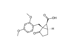 COc1ccc(C[C@]23C(=O)CC[C@@H]2[C@@H]3C(=O)O)c(OC)c1